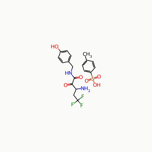 Cc1ccc(S(=O)(=O)O)cc1.NC(CC(F)(F)F)C(=O)C(=O)NCc1ccc(O)cc1